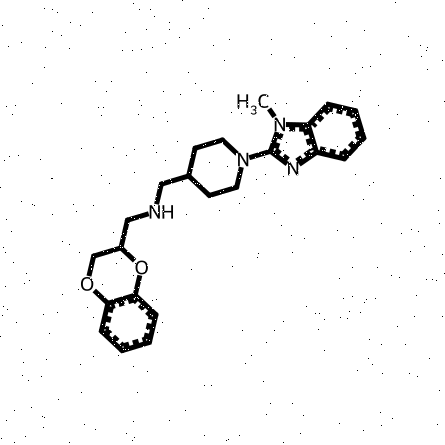 Cn1c(N2CCC(CNCC3COc4ccccc4O3)CC2)nc2ccccc21